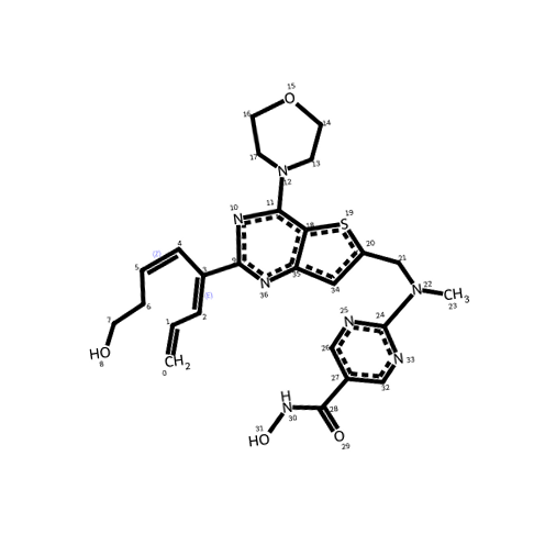 C=C/C=C(\C=C/CCO)c1nc(N2CCOCC2)c2sc(CN(C)c3ncc(C(=O)NO)cn3)cc2n1